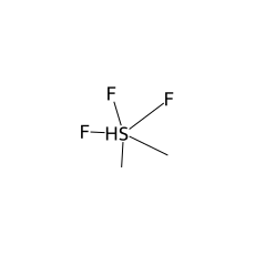 C[SH](C)(F)(F)F